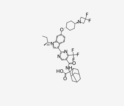 CC[C@H](C)n1cc(-c2ncc(C(=O)NC3(C(=O)O)C4CC5CC(C4)CC3C5)c(C(F)(F)F)n2)c2ccc(O[C@H]3CC[C@H](N4CC(F)(F)C4)CC3)cc21